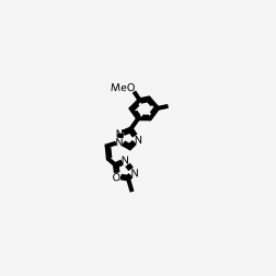 COc1cc(C)cc(-c2ncn(/C=C\c3nnc(C)o3)n2)c1